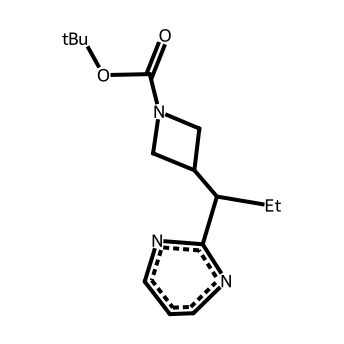 CCC(c1ncccn1)C1CN(C(=O)OC(C)(C)C)C1